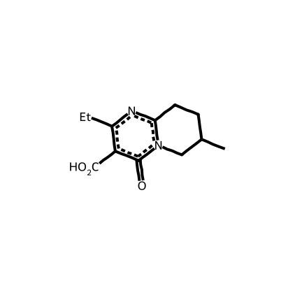 CCc1nc2n(c(=O)c1C(=O)O)CC(C)CC2